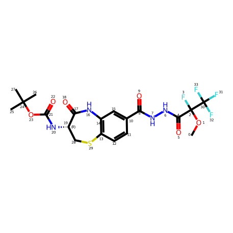 COC(F)(C(=O)NNC(=O)c1ccc2c(c1)NC(=O)[C@@H](NC(=O)OC(C)(C)C)CS2)C(F)(F)F